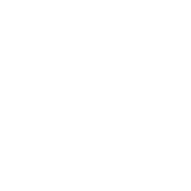 CCCCc1nc(C=O)cn1Cc1c2ccocc-2c(Br)c1-c1ccccc1-c1nnn(C(c2ccccc2)(c2ccccc2)c2ccccc2)n1